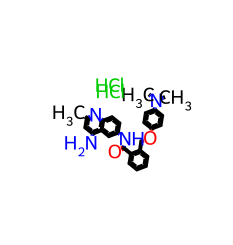 Cc1cc(N)c2cc(NC(=O)c3ccccc3COc3ccc(N(C)C)cc3)ccc2n1.Cl.Cl